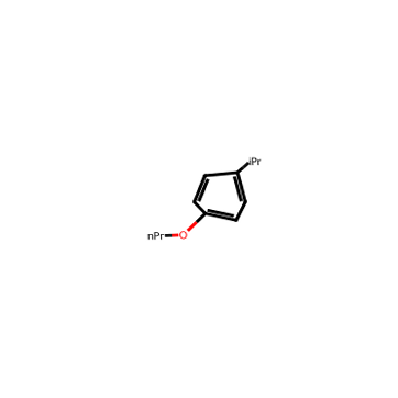 C[CH]COc1ccc(C(C)C)cc1